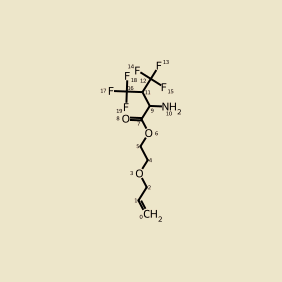 C=CCOCCOC(=O)C(N)C(C(F)(F)F)C(F)(F)F